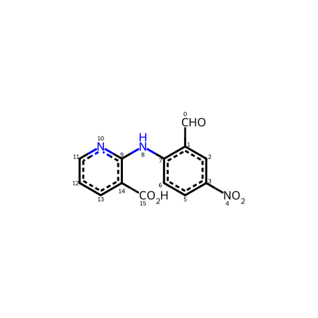 O=Cc1cc([N+](=O)[O-])ccc1Nc1ncccc1C(=O)O